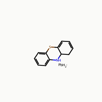 C1=CCC2Nc3ccccc3SC2=C1.[PbH2]